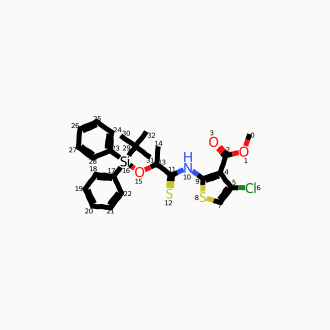 COC(=O)c1c(Cl)csc1NC(=S)C(C)O[Si](c1ccccc1)(c1ccccc1)C(C)(C)C